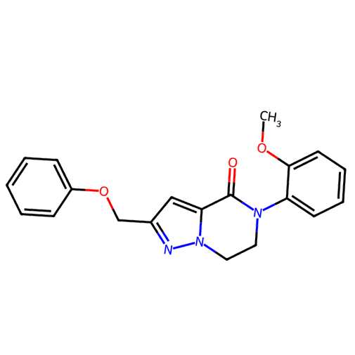 COc1ccccc1N1CCn2nc(COc3ccccc3)cc2C1=O